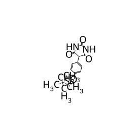 CC(C)(C)[Si](C)(C)Oc1ccc(C2C(=O)NC(=O)NC2=O)cc1